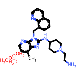 Cc1ccnc2c1nc(NC1CCN(CCN)CC1)n2Cc1cccc2cccnc12.O.O.O.O